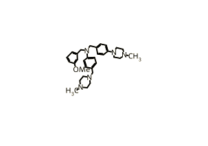 COc1cccc(CN(Cc2ccc(N3CCN(C)CC3)cc2)c2ccc(CN3CCN(C)CC3)cc2)c1